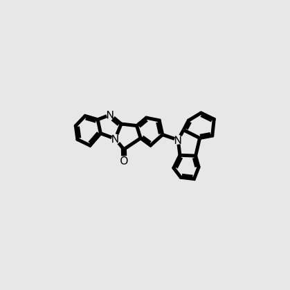 O=C1c2cc(-n3c4ccccc4c4ccccc43)ccc2-c2nc3ccccc3n21